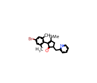 COC1=C(c2c(C)cc(Br)cc2C)C(=O)C(Cc2ccccn2)C1